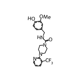 COc1cc(CNC(=O)N2CCN(c3ncccc3C(F)(F)F)CC2)ccc1O